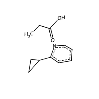 CCC(=O)O.c1ccc(C2CC2)nc1